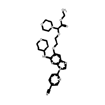 CCOC(=O)C(OCCOc1cc2ncn(-c3ccc(C#N)cn3)c2nc1NC1CCOCC1)N1CCOCC1